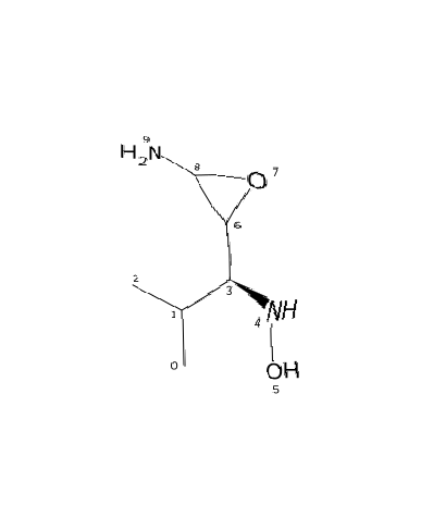 CC(C)[C@H](NO)C1OC1N